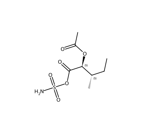 CC[C@H](C)[C@H](OC(C)=O)C(=O)OS(N)(=O)=O